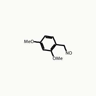 COc1ccc(CN=O)c(OC)c1